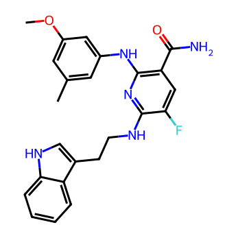 COc1cc(C)cc(Nc2nc(NCCc3c[nH]c4ccccc34)c(F)cc2C(N)=O)c1